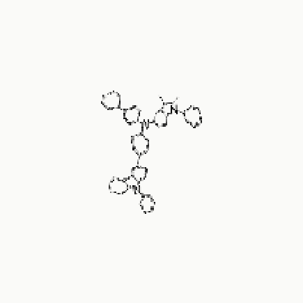 Cc1c(C)n(-c2ccccc2)c2ccc(N(c3ccc(-c4ccccc4)cc3)c3ccc(-c4ccc5c(c4)c4ccccc4n5-c4ccccc4)cc3)cc12